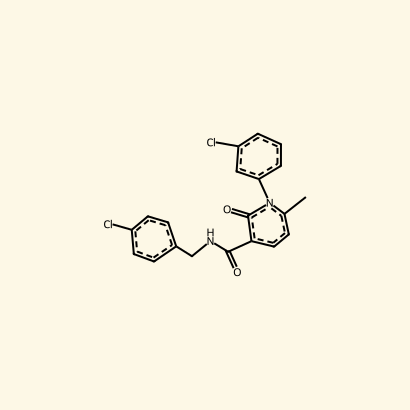 Cc1ccc(C(=O)NCc2ccc(Cl)cc2)c(=O)n1-c1cccc(Cl)c1